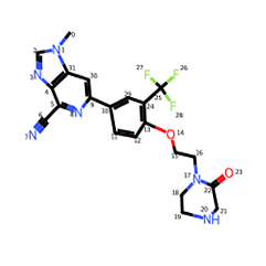 Cn1cnc2c(C#N)nc(-c3ccc(OCCN4CCNCC4=O)c(C(F)(F)F)c3)cc21